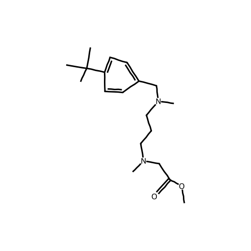 COC(=O)CN(C)CCCN(C)Cc1ccc(C(C)(C)C)cc1